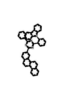 c1ccc(-c2nc(-c3ccc4ccc5c6ccccc6ccc5c4c3)nc(-c3ccccc3-n3c4ccccc4c4ccccc43)n2)cc1